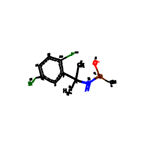 CC(C#N)(N[S+]([O-])C(C)(C)C)c1cc(Br)ccc1F